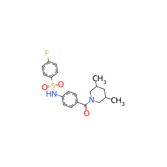 CC1CC(C)CN(C(=O)c2ccc(NS(=O)(=O)c3ccc(F)cc3)cc2)C1